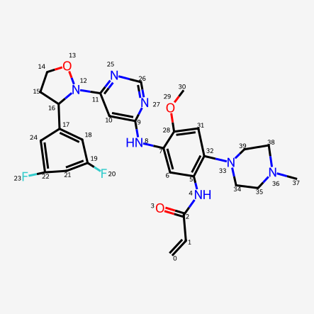 C=CC(=O)Nc1cc(Nc2cc(N3OCCC3c3cc(F)cc(F)c3)ncn2)c(OC)cc1N1CCN(C)CC1